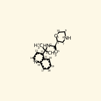 CC(C)(NC(=O)[C@@H]1CNCCO1)c1ccnc2ccccc12